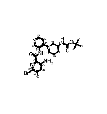 CC(C)(C)OC(=O)NC1CCCN(c2ccncc2NC(=O)c2nc(Br)c(F)cc2N)C1